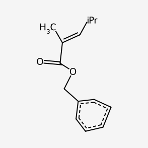 CC(=CC(C)C)C(=O)OCc1ccccc1